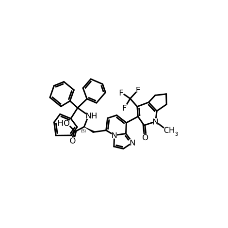 Cn1c2c(c(C(F)(F)F)c(-c3ccc(C[C@H](NC(c4ccccc4)(c4ccccc4)c4ccccc4)C(=O)O)n4ccnc34)c1=O)CCC2